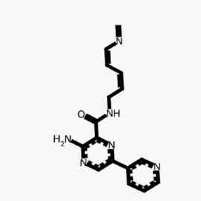 C=N/C=C\C=C/CNC(=O)c1nc(-c2cccnc2)cnc1N